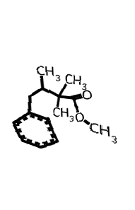 COC(=O)C(C)(C)C(C)Cc1ccccc1